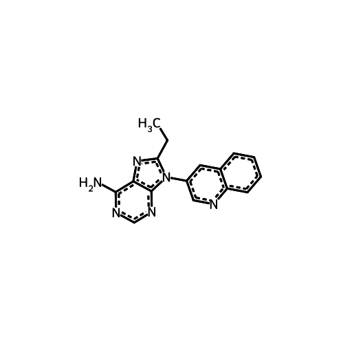 CCc1nc2c(N)ncnc2n1-c1cnc2ccccc2c1